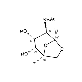 CC(=O)N[C@H]1[C@H]2OC[C@](C)(O2)[C@H](O)[C@@H]1O